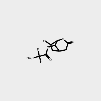 O=C1CC2CC(Cl)C(O1)C2OC(=O)C(F)(F)S(=O)(=O)O